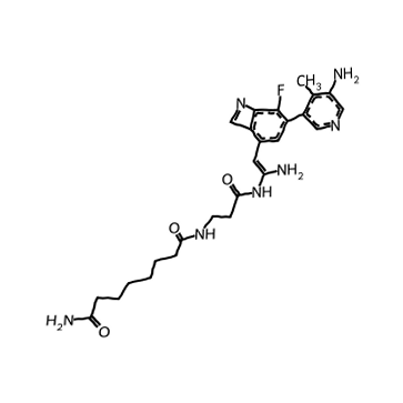 Cc1c(N)cncc1-c1cc(/C=C(\N)NC(=O)CCNC(=O)CCCCCCC(N)=O)c2c(c1F)N=C2